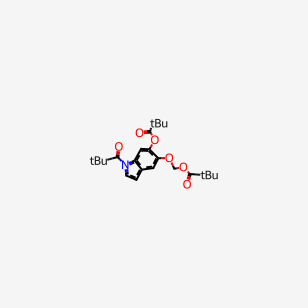 CC(C)(C)C(=O)OCOc1cc2ccn(C(=O)C(C)(C)C)c2cc1OC(=O)C(C)(C)C